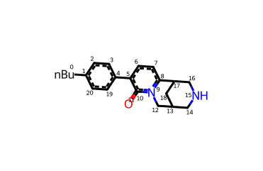 CCCCc1ccc(-c2ccc3n(c2=O)CC2CNCC3C2)cc1